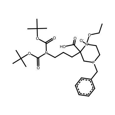 CCO[N+]1([O-])CCP(Cc2ccccc2)CC1(CCCN(C(=O)OC(C)(C)C)C(=O)OC(C)(C)C)C(=O)O